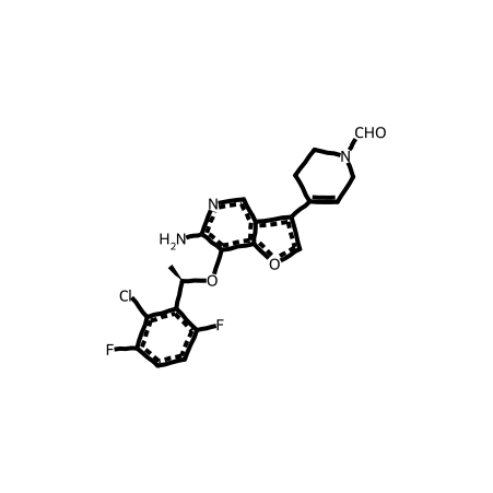 C[C@@H](Oc1c(N)ncc2c(C3=CCN(C=O)CC3)coc12)c1c(F)ccc(F)c1Cl